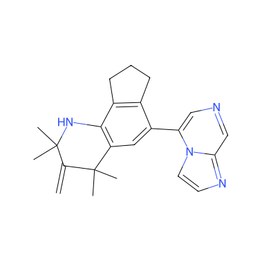 C=C1C(C)(C)Nc2c(cc(-c3cncc4nccn34)c3c2CCC3)C1(C)C